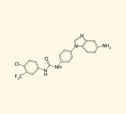 Nc1ccc2c(c1)ncn2-c1ccc(NC(=O)Nc2ccc(Cl)c(C(F)(F)F)c2)cc1